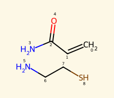 C=CC(N)=O.NCCS